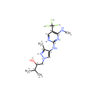 CNc1nc(Nc2cn(CC(O)C(C)C)nc2C)ncc1C(F)(F)F